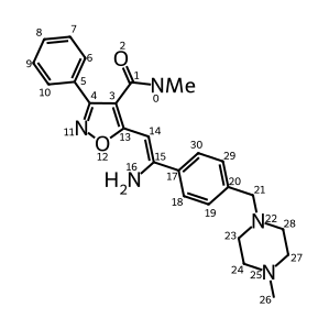 CNC(=O)c1c(-c2ccccc2)noc1C=C(N)c1ccc(CN2CCN(C)CC2)cc1